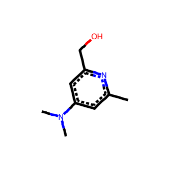 Cc1cc(N(C)C)cc(CO)n1